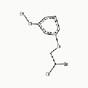 CCOc1cccc(OCC(Cl)Br)c1